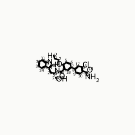 CCCOc1ccc(-c2ccc(C(N)=O)c(Cl)c2)cc1C(=O)N[C@H](CO)Cc1c[nH]c2ccccc12